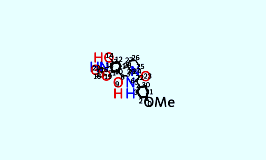 COc1ccc(C(NCC(O)c2ccc(O)c(NS(C)(=O)=O)c2)C(=O)N2CCCCC2)cc1